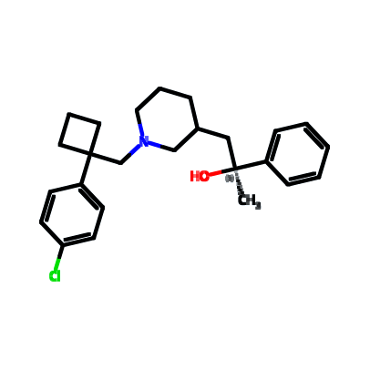 C[C@](O)(CC1CCCN(CC2(c3ccc(Cl)cc3)CCC2)C1)c1ccccc1